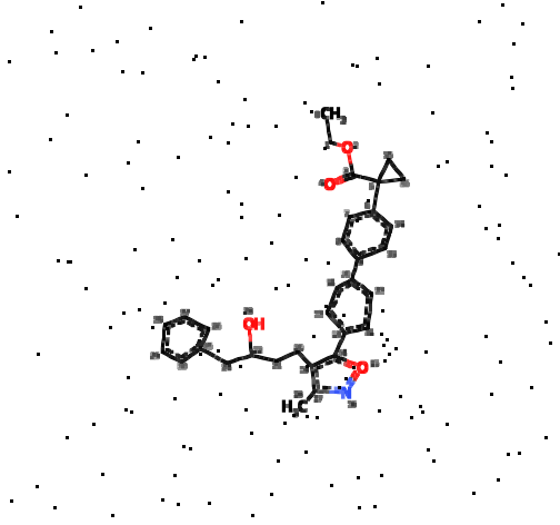 CCOC(=O)C1(c2ccc(-c3ccc(-c4onc(C)c4CCC(O)Cc4ccccc4)cc3)cc2)CC1